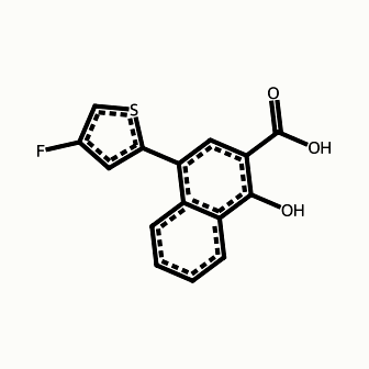 O=C(O)c1cc(-c2cc(F)cs2)c2ccccc2c1O